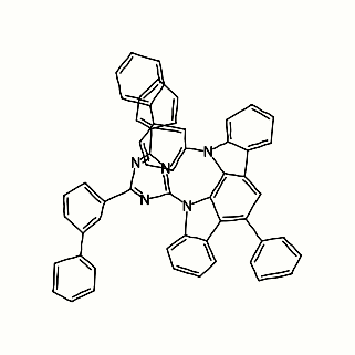 c1ccc(-c2cccc(-c3nc(-c4ccccc4)nc(-n4c5ccccc5c5c(-c6ccccc6)cc6c7ccccc7n(-c7cccc(-c8ccccc8)c7)c6c54)n3)c2)cc1